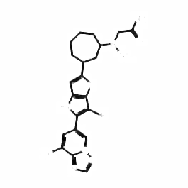 Cc1cc(-c2[nH]c3cc(C4CCCCC(N(C)CC(N)=O)C4)sc3c2C(C)C)cn2ncnc12